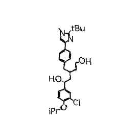 CC(C)Oc1ccc([C@H](O)C[C@H](CCO)Cc2ccc(-c3cn(C)c(C(C)(C)C)n3)cc2)cc1Cl